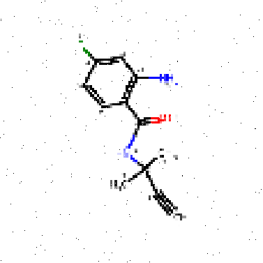 C#CC(C)(C)NC(=O)c1ccc(F)cc1N